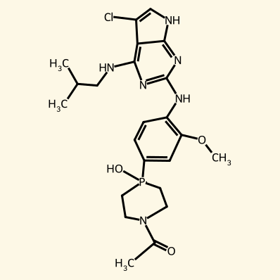 COc1cc([P]2(O)CCN(C(C)=O)CC2)ccc1Nc1nc(NCC(C)C)c2c(Cl)c[nH]c2n1